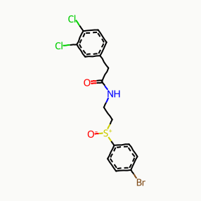 O=C(Cc1ccc(Cl)c(Cl)c1)NCC[S+]([O-])c1ccc(Br)cc1